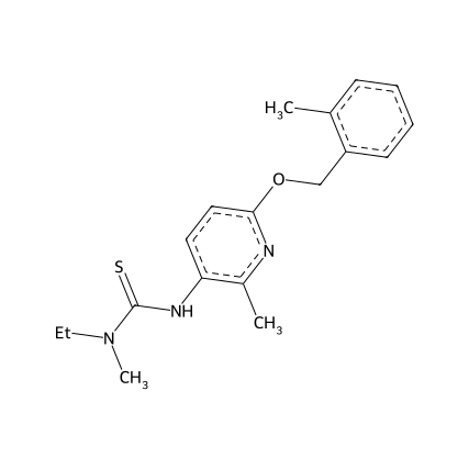 CCN(C)C(=S)Nc1ccc(OCc2ccccc2C)nc1C